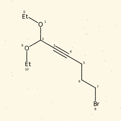 CCOC(C#CCCCBr)OCC